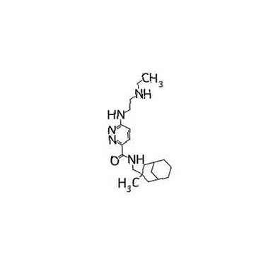 CCNCCNc1ccc(C(=O)NCC2(C)CC3CCCC(C3)C2)nn1